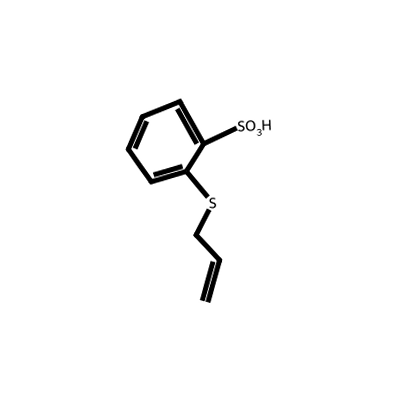 C=CCSc1ccccc1S(=O)(=O)O